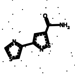 NC(=O)c1cc(-c2cscn2)ns1